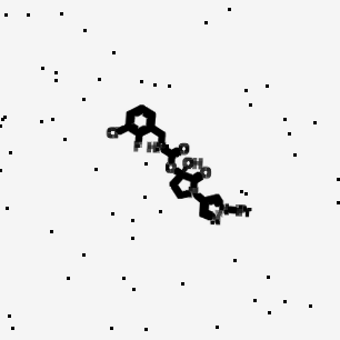 CC(C)n1cc(N2CC[C@@](O)(OC(=O)NCc3cccc(Cl)c3F)C2=O)cn1